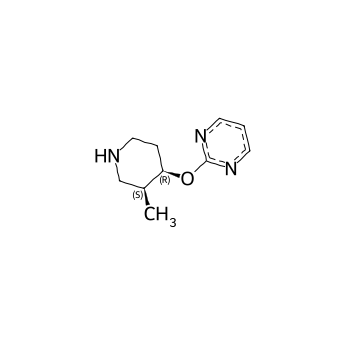 C[C@H]1CNCC[C@H]1Oc1ncccn1